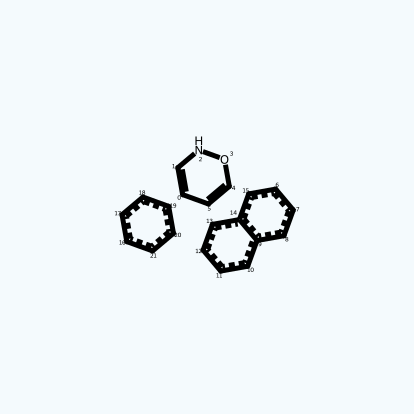 C1=CNOC=C1.c1ccc2ccccc2c1.c1ccccc1